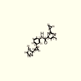 Cc1cc(C(=O)Nc2cccc([C@H]3C[C@H]3c3nncn3C)c2)nc(C2CC2)n1